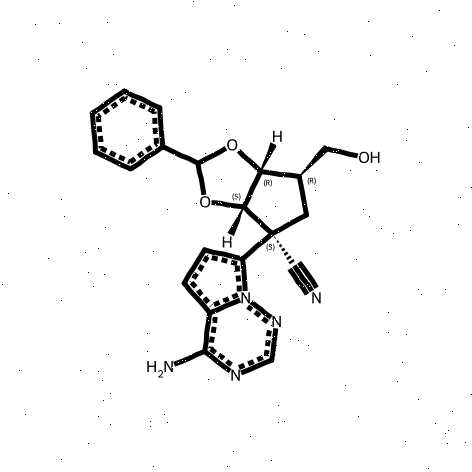 N#C[C@@]1(c2ccc3c(N)ncnn23)C[C@H](CO)[C@H]2OC(c3ccccc3)O[C@H]21